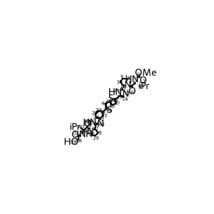 COC(=O)N[C@@H](C(=O)N1CCC[C@@H]1c1ncc(-c2cc3sc(-c4ccc5[nH]c(C6CCCN6C(=O)C(NC(=O)CO)C(C)C)nc5c4)cc3s2)[nH]1)C(C)C